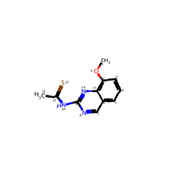 COc1cccc2cnc(NC(C)=S)nc12